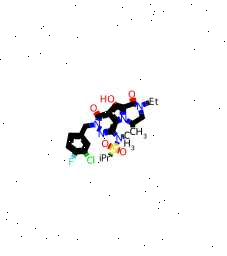 CCN1CC(C)n2c(c(O)c3c(=O)n(Cc4ccc(F)c(Cl)c4)nc(N(C)S(=O)(=O)C(C)C)c32)C1=O